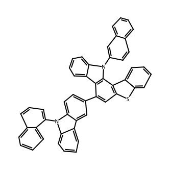 c1ccc2cc(-n3c4ccccc4c4c(-c5ccc6c(c5)c5ccccc5n6-c5cccc6ccccc56)cc5sc6ccccc6c5c43)ccc2c1